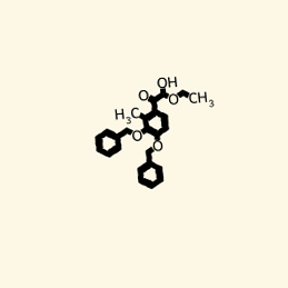 CCOC(O)C(=O)c1ccc(OCc2ccccc2)c(OCc2ccccc2)c1C